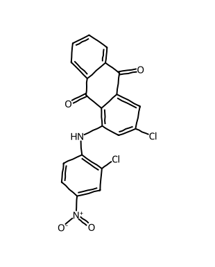 O=C1c2ccccc2C(=O)c2c(Nc3ccc([N+](=O)[O-])cc3Cl)cc(Cl)cc21